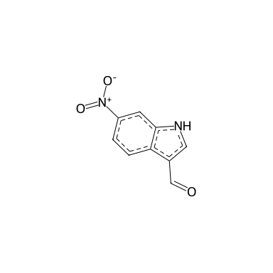 O=Cc1c[nH]c2cc([N+](=O)[O-])ccc12